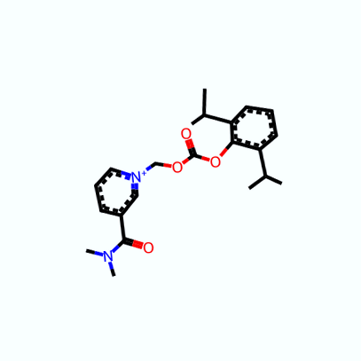 CC(C)c1cccc(C(C)C)c1OC(=O)OC[n+]1cccc(C(=O)N(C)C)c1